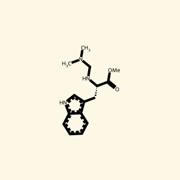 COC(=O)[C@H](Cc1c[nH]c2ccccc12)NCN(C)C